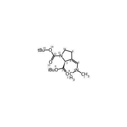 CC(C)COC(=O)[C@@H]1/C(=C\N(C)C)CCN1C(=O)OC(C)(C)C